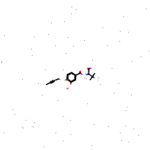 CC#CCOc1ccc(C(=O)NC(C(=O)NO)C(C)(C)N)cc1OC